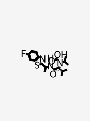 CC(NC(=O)[C@H](C(C)C)N(C(=O)O)C(C)C)c1nc2ccc(F)cc2s1